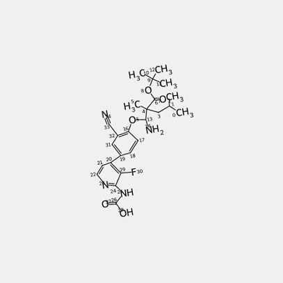 CC(C)CC(C)(C(=O)OC(C)(C)C)C(N)Oc1ccc(-c2ccnc(NC(=O)O)c2F)cc1C#N